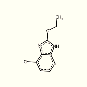 CCOc1nc2c(Cl)ccnc2[nH]1